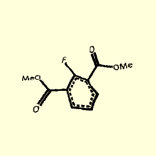 COC(=O)c1cccc(C(=O)OC)c1F